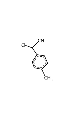 Cc1ccc(C(Cl)C#N)cc1